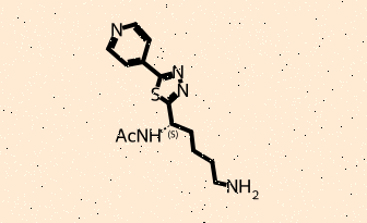 CC(=O)N[C@@H](CCCCN)c1nnc(-c2ccncc2)s1